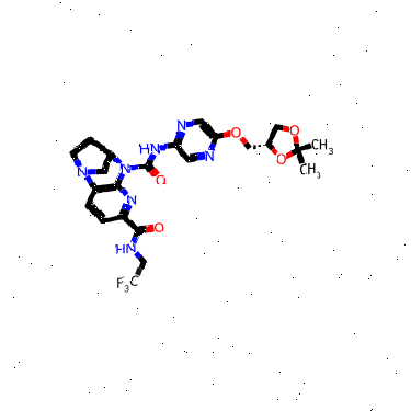 CC1(C)OC[C@@H](COc2cnc(NC(=O)N3c4nc(C(=O)NCC(F)(F)F)ccc4N4CCC3C4)cn2)O1